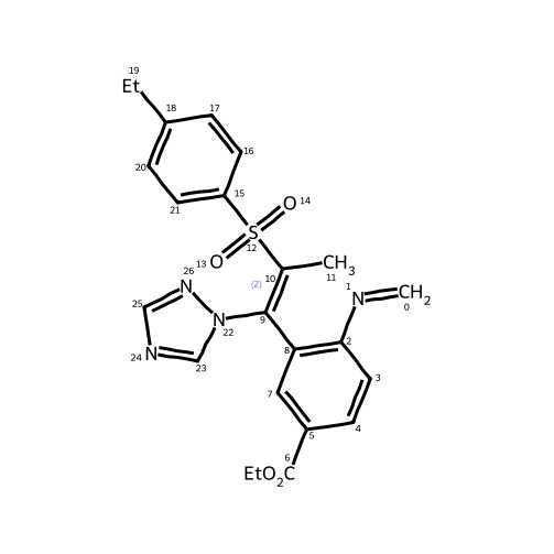 C=Nc1ccc(C(=O)OCC)cc1/C(=C(\C)S(=O)(=O)c1ccc(CC)cc1)n1cncn1